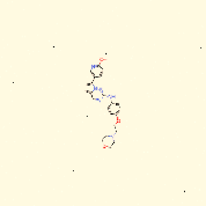 COc1ccc(-c2ccc3cnc(Nc4ccc(OCCN5CCOCC5)cc4)nn23)cn1